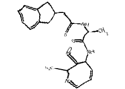 CC1N=CC=CC(NC(=O)[C@H](C)NC(=O)CC2Cc3ccccc3C2)C1=O